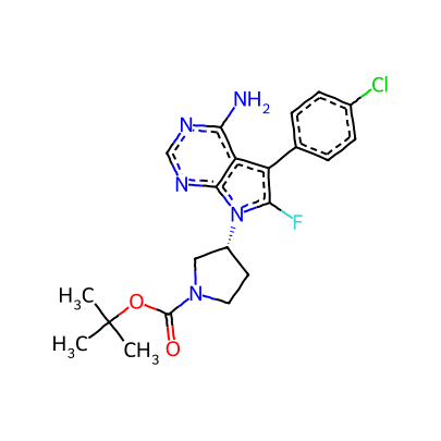 CC(C)(C)OC(=O)N1CC[C@@H](n2c(F)c(-c3ccc(Cl)cc3)c3c(N)ncnc32)C1